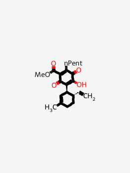 C=C[C@@H]1CCC(C)=C[C@H]1C1=C(O)C(=O)C(CCCCC)=C(C(=O)OC)C1=O